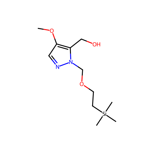 COc1cnn(COCC[Si](C)(C)C)c1CO